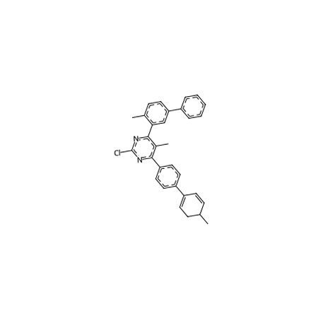 Cc1ccc(-c2ccccc2)cc1-c1nc(Cl)nc(-c2ccc(C3=CCC(C)C=C3)cc2)c1C